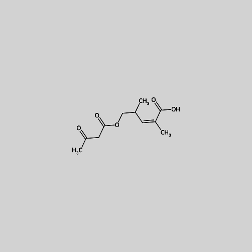 CC(=O)CC(=O)OCC(C)C=C(C)C(=O)O